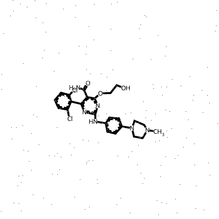 CN1CCN(c2ccc(Nc3nc(OCCO)c(C(N)=O)c(-c4c(Cl)cccc4Cl)n3)cc2)CC1